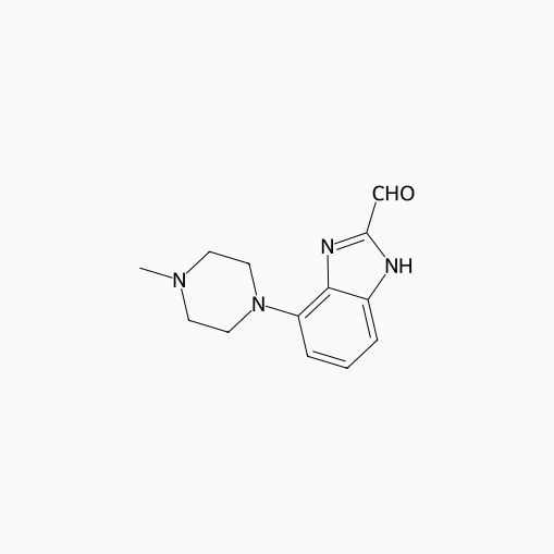 CN1CCN(c2cccc3[nH]c(C=O)nc23)CC1